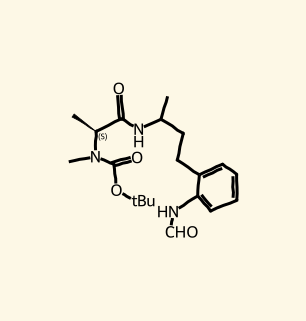 CC(CCc1ccccc1NC=O)NC(=O)[C@H](C)N(C)C(=O)OC(C)(C)C